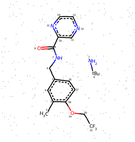 CC(C)(C)N.Cc1cc(CNC(=O)c2cnccn2)ccc1OCC(F)(F)F